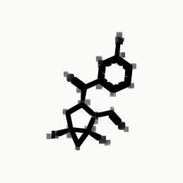 O=CN1[C@@H]2C[C@@H]2C[C@H]1C(=O)c1cccc(Br)n1